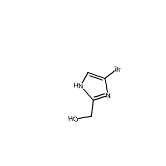 OCc1nc(Br)c[nH]1